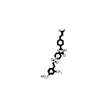 Cc1cc(C(=O)O)ccc1CCS(=O)(=O)N1CCC2(CC1)N=C(C1CCC(CC=C(F)F)CC1)NC2=O